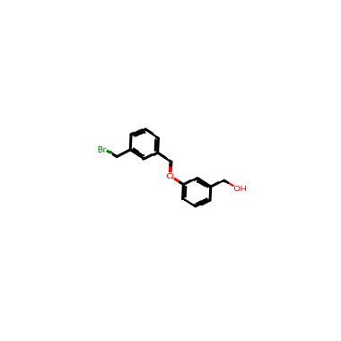 OCc1cccc(OCc2cccc(CBr)c2)c1